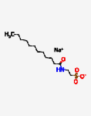 CCCCCCCCCCCC(=O)NCCS(=O)(=O)[O-].[Na+]